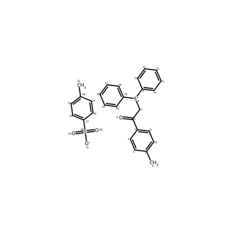 Cc1ccc(C(=O)C[S+](c2ccccc2)c2ccccc2)cc1.Cc1ccc(S(=O)(=O)[O-])cc1